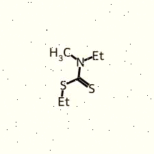 CCSC(=S)N(C)CC